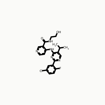 CC(C)c1cnc(-c2cc(Cl)ccc2F)nc1Nc1ccncc1C(=O)NCCO